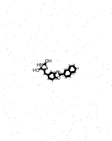 OC1NC(O)C(Cc2ccc3oc(-c4ccc5ccccc5c4)nc3c2)S1